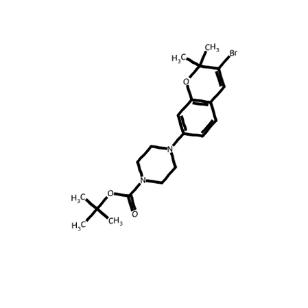 CC(C)(C)OC(=O)N1CCN(c2ccc3c(c2)OC(C)(C)C(Br)=C3)CC1